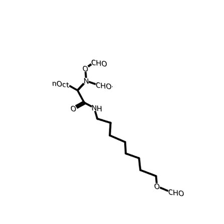 CCCCCCCCC(C(=O)NCCCCCCCCOC=O)N([C]=O)OC=O